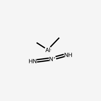 N=[N+]=N.[CH3][Al][CH3]